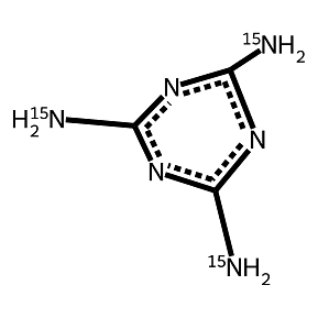 [15NH2]c1nc([15NH2])nc([15NH2])n1